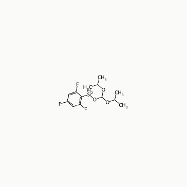 CC(C)OC(O[SiH2]c1c(F)cc(F)cc1F)OC(C)C